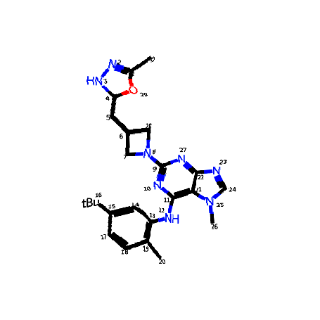 CC1=NNC(CC2CN(c3nc(Nc4cc(C(C)(C)C)ccc4C)c4c(ncn4C)n3)C2)O1